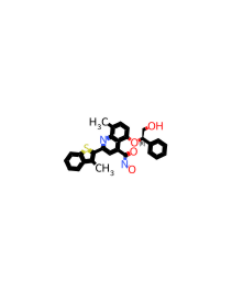 Cc1c(-c2cc(C(=O)N=O)c3c(O[C@@H](CO)c4ccccc4)ccc(C)c3n2)sc2ccccc12